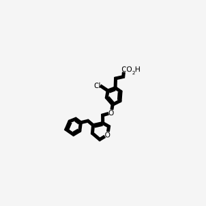 O=C(O)CCc1ccc(OCC2=C(Cc3ccccc3)CCOC2)cc1Cl